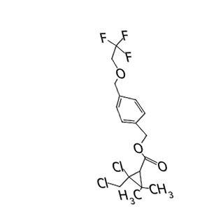 CC1(C)C(C(=O)OCc2ccc(COCC(F)(F)F)cc2)C1(Cl)CCl